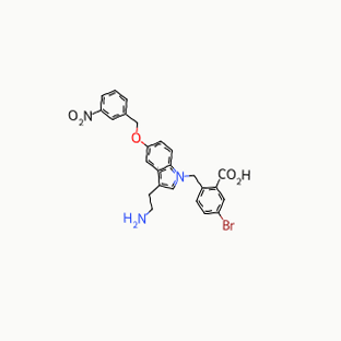 NCCc1cn(Cc2ccc(Br)cc2C(=O)O)c2ccc(OCc3cccc([N+](=O)[O-])c3)cc12